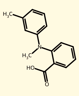 Cc1cccc(N(C)c2ccccc2C(=O)O)c1